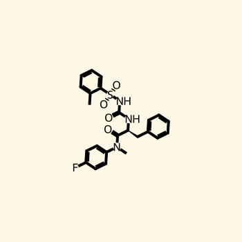 Cc1ccccc1S(=O)(=O)NC(=O)N[C@@H](Cc1ccccc1)C(=O)N(C)c1ccc(F)cc1